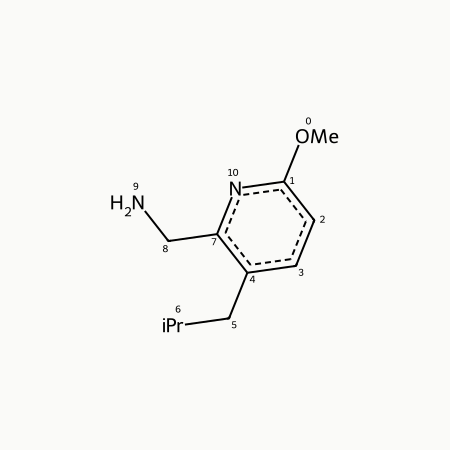 COc1ccc(CC(C)C)c(CN)n1